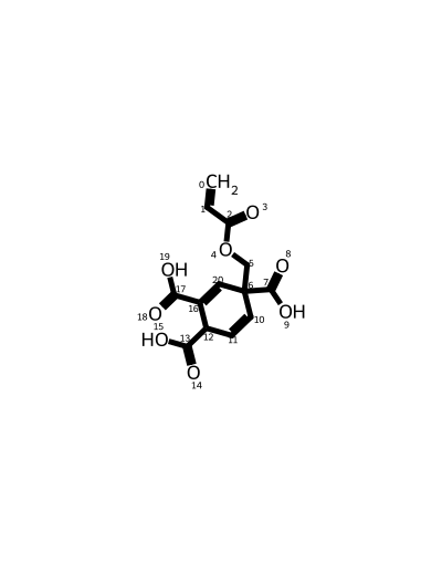 C=CC(=O)OCC1(C(=O)O)C=CC(C(=O)O)C(C(=O)O)=C1